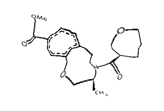 COC(=O)c1ccc2c(c1)OC[C@H](C)N(C(=O)[C@@H]1CCCOC1)C2